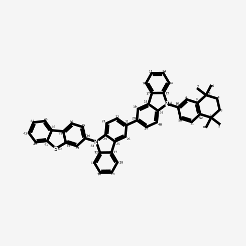 CC1(C)CCC(C)(C)c2cc(-n3c4ccccc4c4cc(-c5ccc6c(c5)c5ccccc5n6-c5ccc6c(c5)sc5ccccc56)ccc43)ccc21